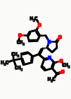 COc1ccc(CN2C(=O)CC[C@@H]2C=C(c2ccc(C(C)(C)C)cc2)c2ccc(C(C)=O)c(OC)n2)c(OC)c1